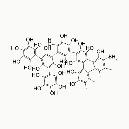 Bc1c(C)c(C)c2c3c(C)c(C)c(O)c(O)c3c3c(O)c(-c4c(O)c(O)c(O)c(-c5c(O)c(-c6c(O)c(O)c(O)c(O)c6O)c(O)c(-c6c(O)c(O)c(O)c(O)c6O)c5O)c4O)c(O)c(O)c3c2c1O